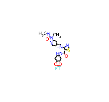 CNC(=O)N(C)c1cc(CNc2ncsc2C(=O)Nc2ccc3c(c2)OC(F)(F)O3)ccn1